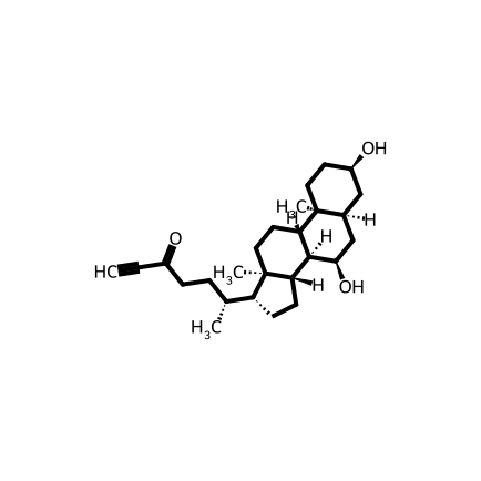 C#CC(=O)CC[C@@H](C)[C@H]1CC[C@H]2[C@@H]3[C@H](O)C[C@@H]4C[C@H](O)CC[C@]4(C)[C@H]3CC[C@]12C